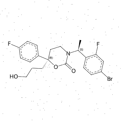 C[C@@H](c1ccc(Br)cc1F)N1CC[C@](CCCO)(c2ccc(F)cc2)OC1=O